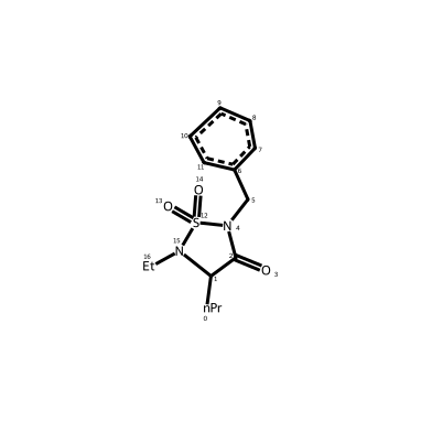 CCCC1C(=O)N(Cc2ccccc2)S(=O)(=O)N1CC